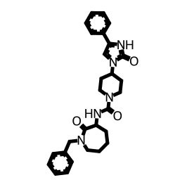 O=C(NC1CCCCN(Cc2ccccc2)C1=O)N1CCC(n2cc(-c3ccccc3)[nH]c2=O)CC1